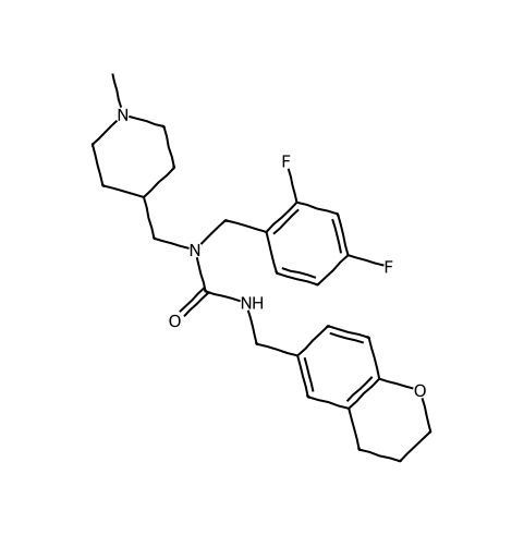 CN1CCC(CN(Cc2ccc(F)cc2F)C(=O)NCc2ccc3c(c2)CCCO3)CC1